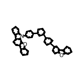 c1cc(-c2ccc(-c3ccc4oc5ccccc5c4c3)cc2)cc(-c2ccc(-n3c4ccccc4c4ccc5c6ccccc6oc5c43)cc2)c1